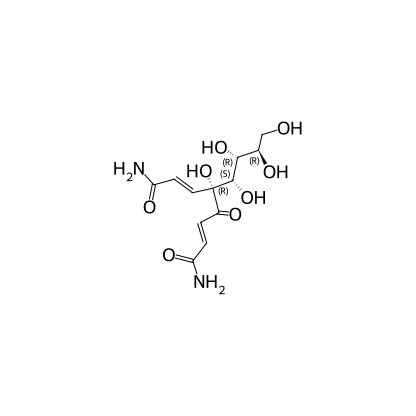 NC(=O)C=CC(=O)[C@@](O)(C=CC(N)=O)[C@@H](O)[C@H](O)[C@H](O)CO